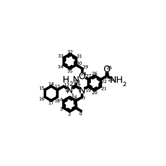 Cc1ccccc1CN(C(N)=NCC1CCCCC1)c1ccc(C(N)=O)cc1OCc1ccccc1